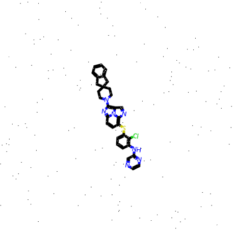 Clc1c(Nc2cnccn2)cccc1Sc1ccc2nc(N3CCC4(CC3)Cc3ccccc3C4)c3cnc1n23